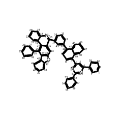 c1ccc(-c2cc(-c3ccc(-c4cccc(-c5nc6ccccc6c6c(-c7ccccc7)c7c(cc56)oc5ccccc57)c4)c4ccccc34)nc(-c3ccccc3)n2)cc1